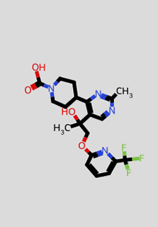 Cc1ncc(C(C)(O)COc2cccc(C(F)(F)F)n2)c(C2CCN(C(=O)O)CC2)n1